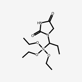 CCO[Si](OCC)(OCC)C(CC)N1CC(=O)NC1=O